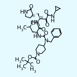 CC(C)C[C@H](NC(=O)N(Cc1ccccc1)C1CCN(C(=O)OC(C)(C)C)CC1)C(=O)N[C@@H](C[C@@H]1CCNC1=O)C(=O)C(=O)NC1CC1